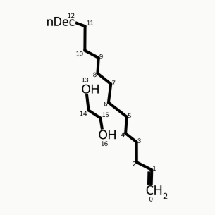 C=CCCCCCCCCCCCCCCCCCCCC.OCCO